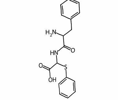 NC(Cc1ccccc1)C(=O)NC(Sc1ccccc1)C(=O)O